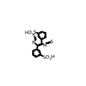 O=S(=O)(O)c1cccc(C(N=C=S)=C(N=C=S)c2cccc(S(=O)(=O)O)c2)c1